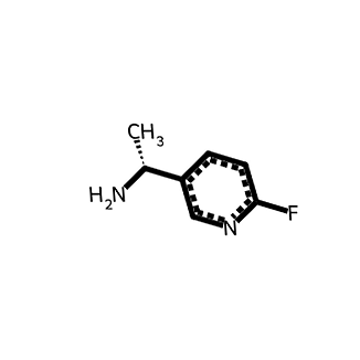 C[C@@H](N)c1ccc(F)nc1